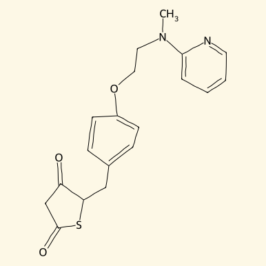 CN(CCOc1ccc(CC2SC(=O)CC2=O)cc1)c1ccccn1